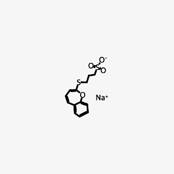 O=S(=O)([O-])CCCSC1=CC=Cc2ccccc2O1.[Na+]